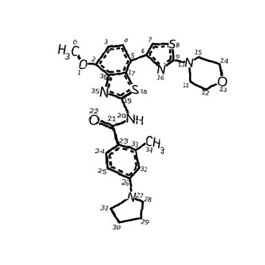 COc1ccc(-c2csc(N3CCOCC3)n2)c2sc(NC(=O)c3ccc(N4CCCC4)cc3C)nc12